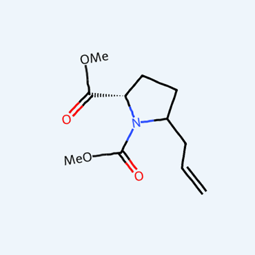 C=CCC1CC[C@@H](C(=O)OC)N1C(=O)OC